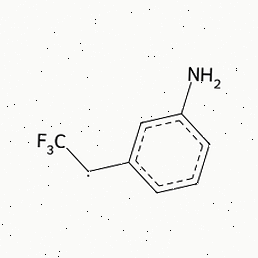 Nc1cccc([CH]C(F)(F)F)c1